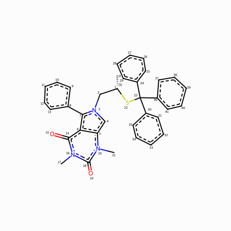 C[C@@H](Cn1cc2c(c1-c1ccccc1)c(=O)n(C)c(=O)n2C)SC(c1ccccc1)(c1ccccc1)c1ccccc1